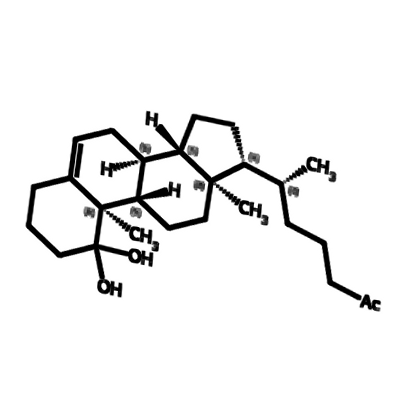 CC(=O)CCC[C@@H](C)[C@H]1CC[C@H]2[C@@H]3CC=C4CCCC(O)(O)[C@]4(C)[C@H]3CC[C@]12C